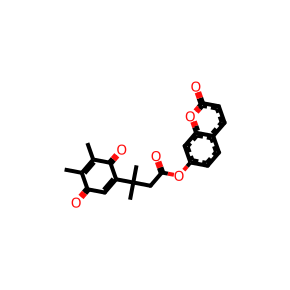 CC1=C(C)C(=O)C(C(C)(C)CC(=O)Oc2ccc3ccc(=O)oc3c2)=CC1=O